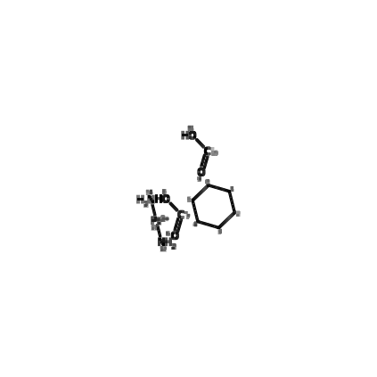 C1CCCCC1.O=[C-]O.O=[C-]O.[NH2][Pt+2][NH2]